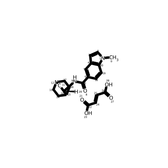 Cn1ccc2cc(C(=O)N[C@H]3CN4CCC3CC4)ccc21.O=C(O)C=CC(=O)O